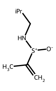 C=C(C)[S+]([O-])NCC(C)C